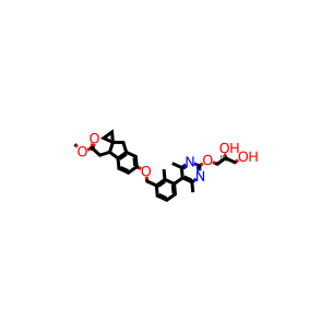 COC(=O)CC1c2ccc(OCc3cccc(-c4c(C)nc(OC[C@@H](O)CO)nc4C)c3C)cc2CC12CC2